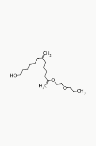 C=C(CCCCCCO)CCCCC(=C)OCCOCCC